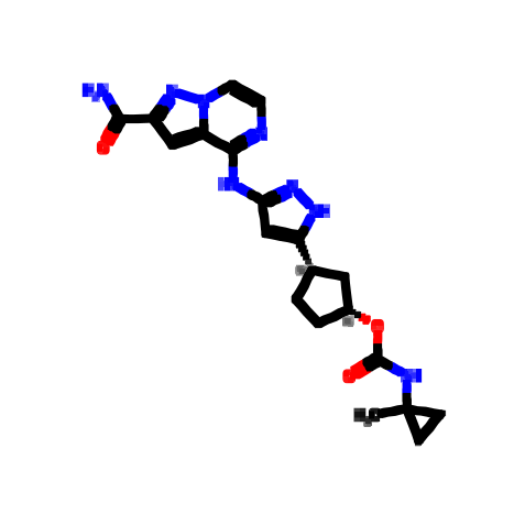 CC1(NC(=O)O[C@@H]2CC[C@H](c3cc(Nc4nccn5nc(C(N)=O)cc45)n[nH]3)C2)CC1